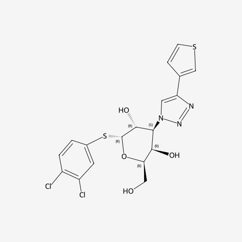 OC[C@H]1O[C@H](Sc2ccc(Cl)c(Cl)c2)[C@H](O)[C@@H](n2cc(-c3ccsc3)nn2)[C@H]1O